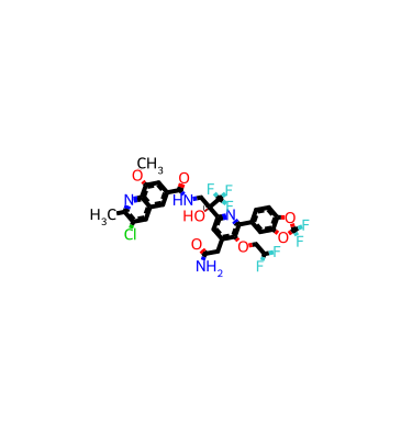 COc1cc(C(=O)NC[C@](O)(c2cc(CC(N)=O)c(OCC(F)F)c(-c3ccc4c(c3)OC(F)(F)O4)n2)C(F)(F)F)cc2cc(Cl)c(C)nc12